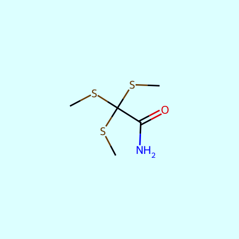 CSC(SC)(SC)C(N)=O